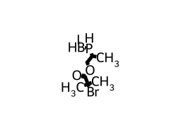 CC(COC(=O)C(C)(C)Br)PBI